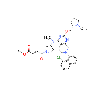 CC(C)OC(=O)/C=C/C(=O)N1CC[C@@H](N(C)c2nc(OC[C@@H]3CCCN3C)nc3c2CCN(c2cccc4cccc(Cl)c24)C3)C1